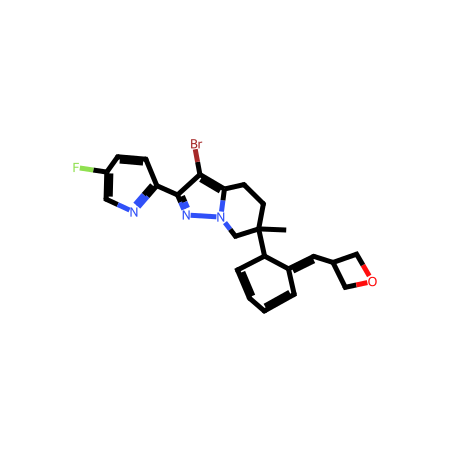 CC1(C2C=CC=CC2=CC2COC2)CCc2c(Br)c(-c3ccc(F)cn3)nn2C1